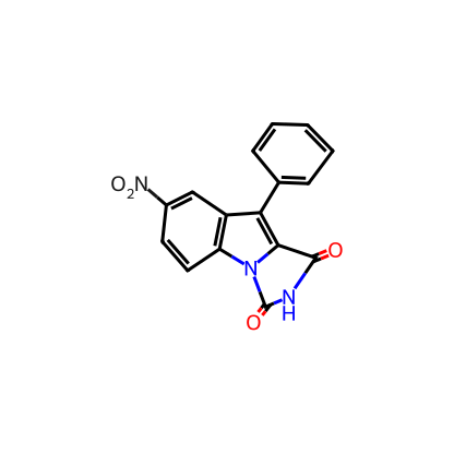 O=C1NC(=O)n2c1c(-c1ccccc1)c1cc([N+](=O)[O-])ccc12